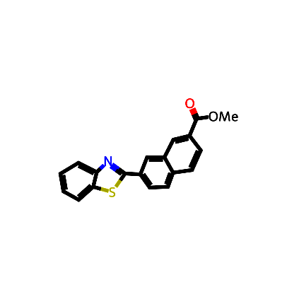 COC(=O)c1ccc2ccc(-c3nc4ccccc4s3)cc2c1